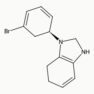 BrC1=CC=C[C@@H](N2CNC3=C2CCC=C3)C1